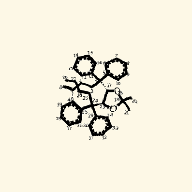 CCCCC(c1ccccc1)(c1ccccc1)[C@@H]1OC(C)(C)O[C@H]1C(CCCC)(c1ccccc1)c1ccccc1